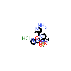 Cc1nc(N)ccc1C[N+]1(C(=O)[C@@H](CC2CCCCC2)NS(C)(=O)=O)CCC[C@@H]2C[C@@]21C(N)=O.Cl